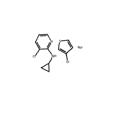 Clc1cccnc1NC1CC1.[Na+].[O-]c1ccsc1